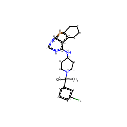 [C-]#[N+]C(C)(c1cccc(F)c1)N1CCC(Nc2ncnc3sc4c(c23)CCCC4)CC1